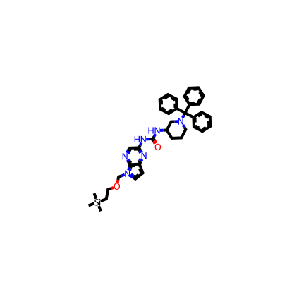 C[Si](C)(C)CCOCn1ccc2nc(NC(=O)NC3CCCN(C(c4ccccc4)(c4ccccc4)c4ccccc4)C3)cnc21